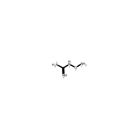 N=C(N)NON